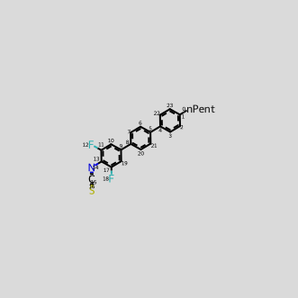 CCCCCc1ccc(-c2ccc(-c3cc(F)c(N=C=S)c(F)c3)cc2)cc1